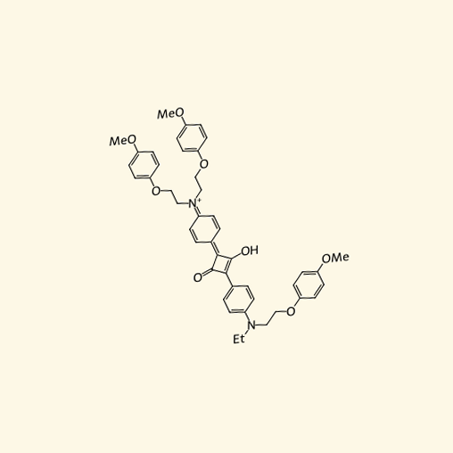 CCN(CCOc1ccc(OC)cc1)c1ccc(C2=C(O)C(=C3C=CC(=[N+](CCOc4ccc(OC)cc4)CCOc4ccc(OC)cc4)C=C3)C2=O)cc1